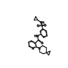 O=C(Nc1cccc(S(=O)(=O)NC2CC2)c1)c1cccnc1N1CCC2(CC1)CC2